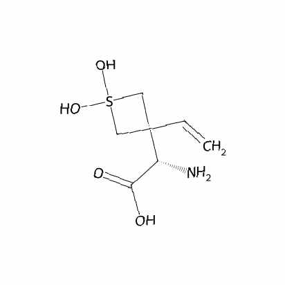 C=CC1([C@H](N)C(=O)O)CS(O)(O)C1